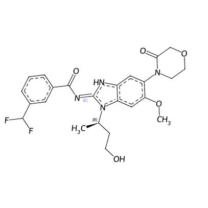 COc1cc2c(cc1N1CCOCC1=O)[nH]/c(=N\C(=O)c1cccc(C(F)F)c1)n2[C@H](C)CCO